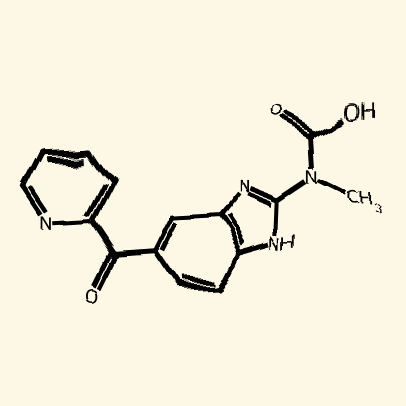 CN(C(=O)O)c1nc2cc(C(=O)c3ccccn3)ccc2[nH]1